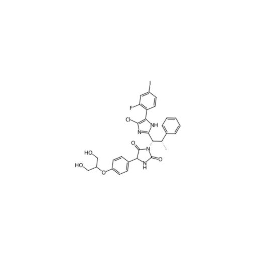 C[C@@H](c1ccccc1)[C@@H](c1nc(Cl)c(-c2ccc(I)cc2F)[nH]1)N1C(=O)NC(c2ccc(OC(CO)CO)cc2)C1=O